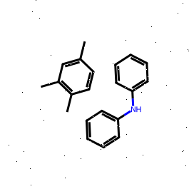 Cc1ccc(C)c(C)c1.c1ccc(Nc2ccccc2)cc1